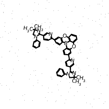 CC1(C)CN(c2ccccc2)C(c2ccc(-c3ccc4c(c3)Oc3cccc5c3B4c3ccc(-c4ccc(C6=NC(C)(C)CN6c6ccccc6)cn4)cc3O5)nc2)=N1